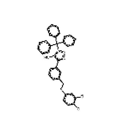 N#Cc1c(-c2cccc(CSc3ccc(Cl)c(Cl)c3)c2)nnn1C(c1ccccc1)(c1ccccc1)c1ccccc1